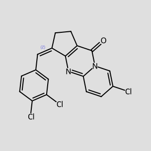 O=c1c2c(nc3ccc(Cl)cn13)/C(=C\c1ccc(Cl)c(Cl)c1)CC2